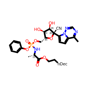 CCCCCCCCCCCCOC(=O)[C@H](C)NP(=O)(OC[C@H]1O[C@@](C#N)(c2ccc3c(C)ncnn23)[C@H](O)[C@@H]1O)Oc1ccccc1